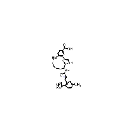 Cc1ccc(-n2cnnn2)c(/C=C/C(=O)N[C@H]2CCCCCNc3ccc(C(=O)O)cc3-c3c[nH]c2n3)c1